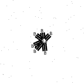 [B]#[La](#[B])(#[B])(#[B])(#[B])#[B]